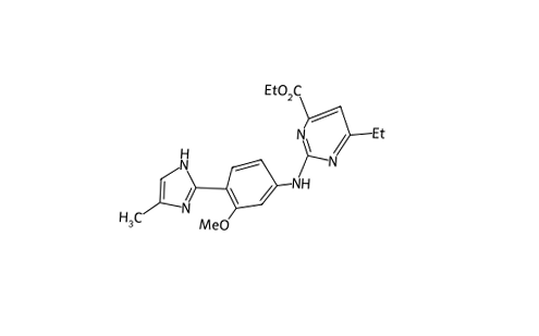 CCOC(=O)c1cc(CC)nc(Nc2ccc(-c3nc(C)c[nH]3)c(OC)c2)n1